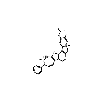 CC1=C[N+]2(C)CC3=C(C4OC5=C(C=CC(c6ccccc6)C(C)N5)C4CC3)C2C=C1CC(C)C